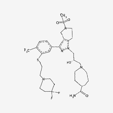 CS(=O)(=O)N1CCc2c(c(-c3ccc(C(F)(F)F)c(SCCN4CCC(F)(F)CC4)c3)nn2C[C@@H](O)CN2CCC(C(N)=O)CC2)C1